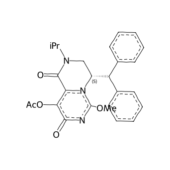 COc1nc(=O)c(OC(C)=O)c2n1[C@@H](C(c1ccccc1)c1ccccc1)CN(C(C)C)C2=O